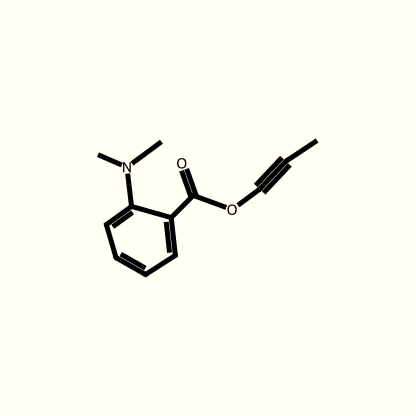 CC#COC(=O)c1ccccc1N(C)C